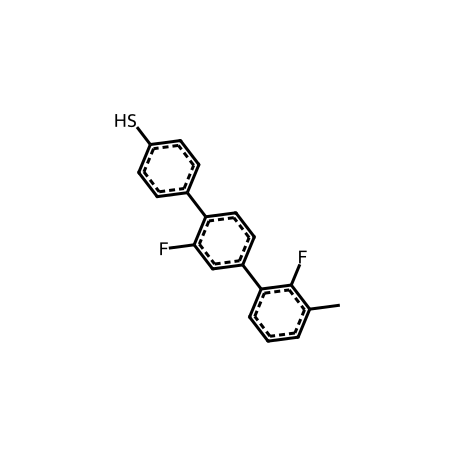 Cc1cccc(-c2ccc(-c3ccc(S)cc3)c(F)c2)c1F